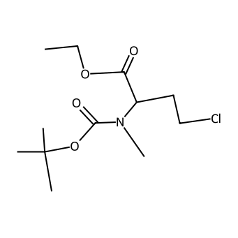 CCOC(=O)C(CCCl)N(C)C(=O)OC(C)(C)C